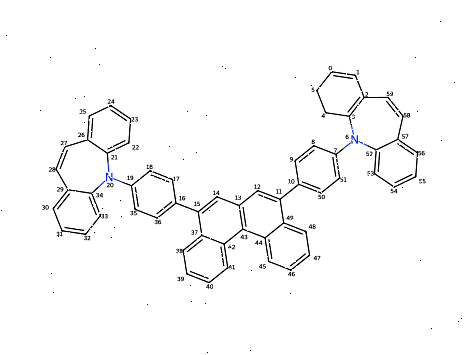 C1=CC2=C(CC1)N(c1ccc(-c3cc4cc(-c5ccc(N6c7ccccc7C=Cc7ccccc76)cc5)c5ccccc5c4c4ccccc34)cc1)c1ccccc1C=C2